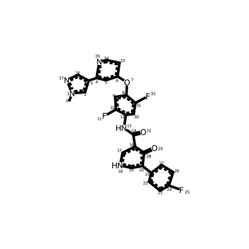 Cn1cc(-c2cc(Oc3cc(F)c(NC(=O)c4c[nH]cc(-c5ccc(F)cc5)c4=O)cc3F)ccn2)cn1